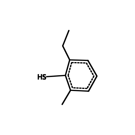 CCc1cccc(C)c1S